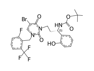 CC(C)(C)OC(=O)N[C@@H](CCn1c(=O)c(Br)cn(Cc2c(F)cccc2C(F)(F)F)c1=O)c1ccccc1O